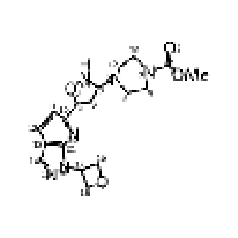 COC(=O)N1CCN(C2CC(c3ccc4cnn(C5COC5)c4n3)ON2)CC1